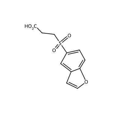 O=C(O)CCS(=O)(=O)c1ccc2occc2c1